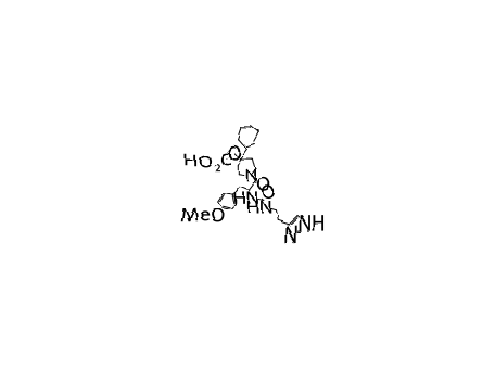 COc1ccc(CC(NC(=O)NCCc2c[nH]cn2)C(=O)N2CCC(OC(=O)O)(C3CCCCC3)CC2)cc1